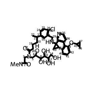 CNC(=O)CN(CC(O)C(O)C(O)C(O)CO)C(=O)CCCC(C)c1ccc(Cl)c(CNC2(c3cnccc3-c3ccccc3OC3CC3)CC2)c1